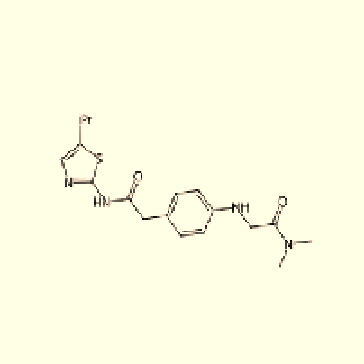 CC(C)c1cnc(NC(=O)Cc2ccc(NCC(=O)N(C)C)cc2)s1